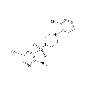 Nc1ncc(Br)cc1S(=O)(=O)N1CCN(c2ccccc2Cl)CC1